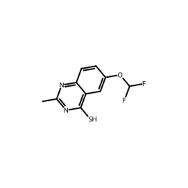 Cc1nc(S)c2cc(OC(F)F)ccc2n1